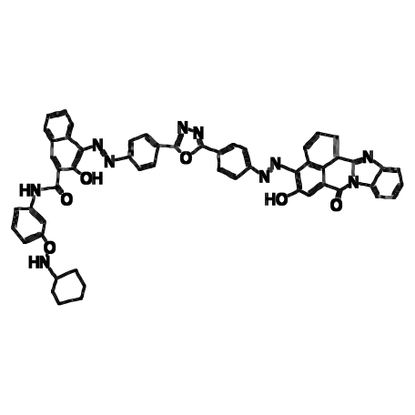 O=C(Nc1cccc(ONC2CCCCC2)c1)c1cc2ccccc2c(N=Nc2ccc(-c3nnc(-c4ccc(N=Nc5c(O)cc6c(=O)n7c8ccccc8nc7c7cccc5c67)cc4)o3)cc2)c1O